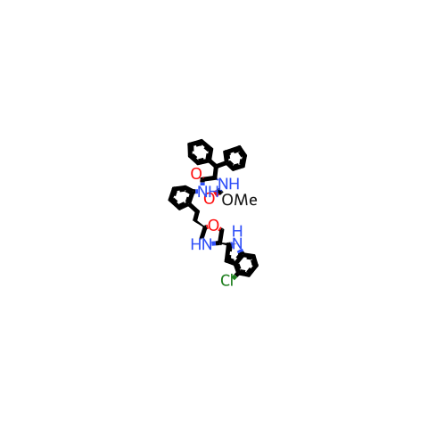 COC(=O)N[C@H](C(=O)Nc1ccccc1CC[C@@H]1CN[C@H](c2cc3c(Cl)cccc3[nH]2)CO1)C(c1ccccc1)c1ccccc1